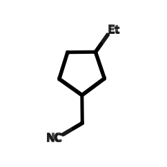 CCC1CCC(CC#N)C1